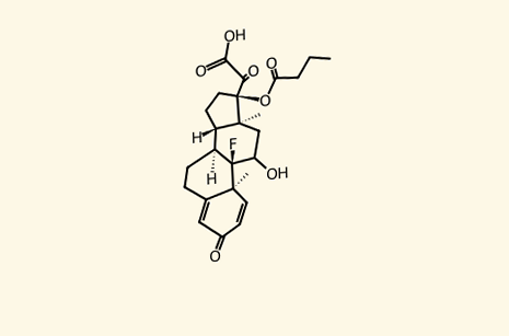 CCCC(=O)O[C@]1(C(=O)C(=O)O)CC[C@H]2[C@@H]3CCC4=CC(=O)C=C[C@]4(C)[C@@]3(F)C(O)C[C@@]21C